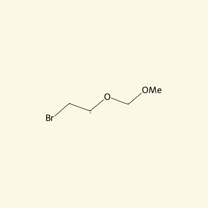 COCO[CH]CBr